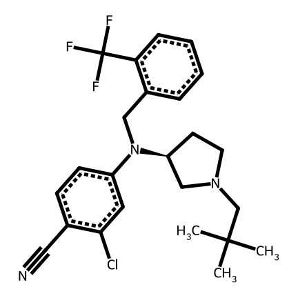 CC(C)(C)CN1CC[C@H](N(Cc2ccccc2C(F)(F)F)c2ccc(C#N)c(Cl)c2)C1